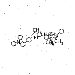 CCC(CC(C)c1ccc(-c2cc(C)c(Bc3c(C)cc(-c4ccccc4)cc3C)c(C)c2)cc1)c1ccc(-c2cccc3c2c2ccccc2n3-c2ccccc2)cc1